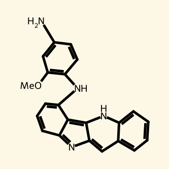 COc1cc(N)ccc1Nc1cccc2nc3cc4ccccc4[nH]c-3c12